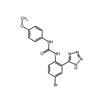 COc1ccc(NC(=O)Nc2ccc(Br)cc2-c2nnn[nH]2)cc1